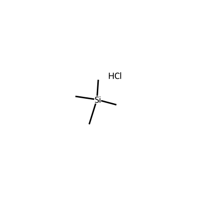 C[Si](C)(C)C.Cl